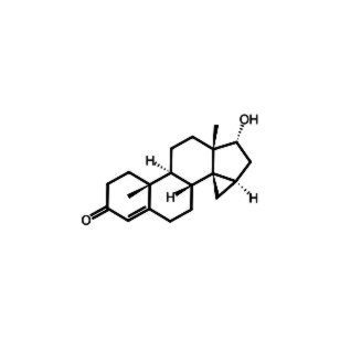 C[C@]12CCC(=O)C=C1CC[C@@H]1[C@@H]2CC[C@]2(C)[C@H](O)C[C@H]3C[C@@]312